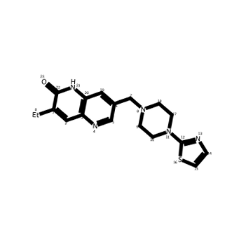 CCc1cc2ncc(CN3CCN(c4nccs4)CC3)cc2[nH]c1=O